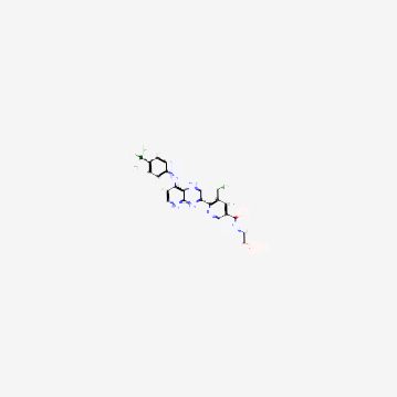 O=C(NCCO)c1cnc(-c2cnc3c(Nc4ccc(C(F)(F)F)cc4)ccnc3n2)c(CF)c1